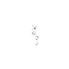 CCN(CC)S(=O)(=O)c1ccc(-c2ccc(-c3cccs3)s2)s1